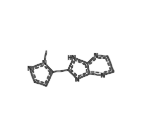 Cn1nccc1-c1nc2nccnc2[nH]1